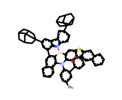 CC(C)(C)c1ccc(N2c3cc4c(cc3B3c5c(cc6ccccc6c52)-c2cc(C56CC7CC(CC(C7)C5)C6)cc5c6cc(C78CC9CC(CC(C9)C7)C8)ccc6n3c25)sc2cc3ccccc3cc24)c(-c2ccccc2)c1